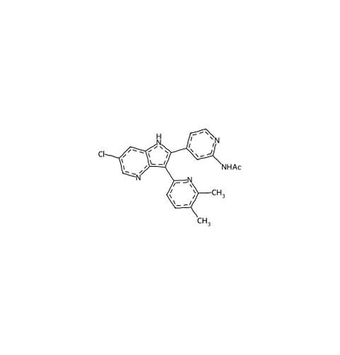 CC(=O)Nc1cc(-c2[nH]c3cc(Cl)cnc3c2-c2ccc(C)c(C)n2)ccn1